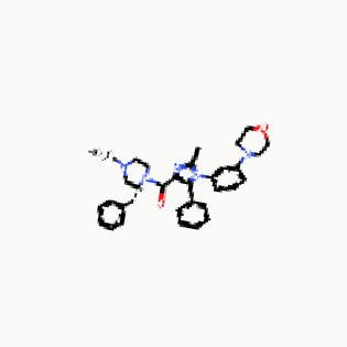 Cc1nc(C(=O)N2CCN(C(=O)O)C[C@H]2Cc2ccccc2)c(-c2ccccc2)n1-c1cccc(N2CCOCC2)c1